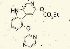 CCOC(=O)Oc1cc2c(cn1)[nH]c1cccc(Oc3cnccn3)c12